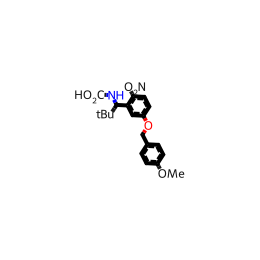 COc1ccc(COc2ccc([N+](=O)[O-])c(C(NC(=O)O)C(C)(C)C)c2)cc1